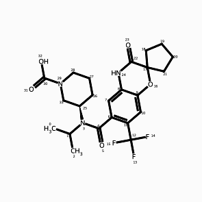 CC(C)N(C(=O)c1cc2c(cc1C(F)(F)F)OC1(CCCC1)C(=O)N2)[C@@H]1CCCN(C(=O)O)C1